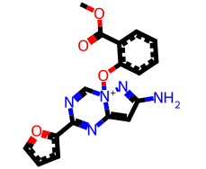 COC(=O)c1ccccc1O[N+]12C=NC(c3ccco3)=NC1=CC(N)=N2